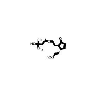 CCCCCCCCC=C[C@H]1C=CC(=O)[C@@H]1CC=C=CCC(C)(O)C(=O)O